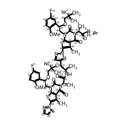 COc1ccc(F)cc1[C@H](Cn1c(=O)n([C@H](C)C(=O)NC(C)Cc2cnn(-c3sc4c(c3C)c(=O)n([C@@H](C)C(=O)NC(C)C)c(=O)n4C[C@H](OCC(C)(C)C#N)c3cc(F)ccc3OC)n2)c(=O)c2c(C)c(-n3nccn3)sc21)OCC(C)(C)C#N